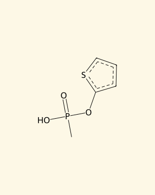 CP(=O)(O)Oc1cccs1